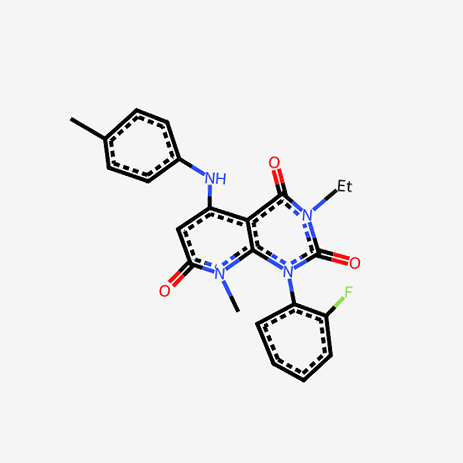 CCn1c(=O)c2c(Nc3ccc(C)cc3)cc(=O)n(C)c2n(-c2ccccc2F)c1=O